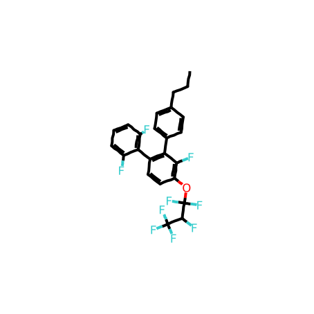 CCCc1ccc(-c2c(-c3c(F)cccc3F)ccc(OC(F)(F)C(F)C(F)(F)F)c2F)cc1